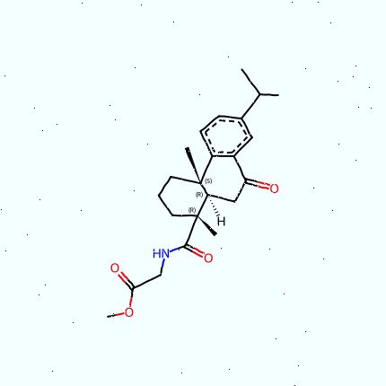 COC(=O)CNC(=O)[C@]1(C)CCC[C@]2(C)c3ccc(C(C)C)cc3C(=O)C[C@@H]12